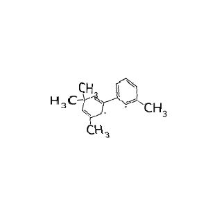 CC1=CC(C)(C)C=C(c2[c]c(C)ccc2)[CH]1